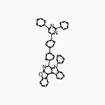 c1ccc(-c2cc(-c3ccc(-c4ccc(-c5nc6oc7ccccc7c6c6c7ccccc7n(-c7ccccc7)c56)cc4)cc3)nc(-c3ccccc3)n2)cc1